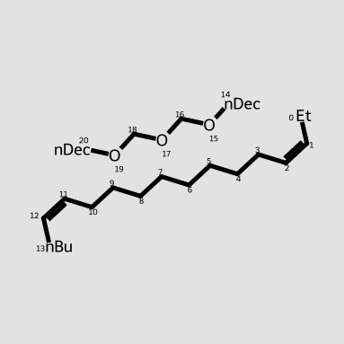 CC/C=C\CCCCCCCC/C=C\CCCC.CCCCCCCCCCOCOCOCCCCCCCCCC